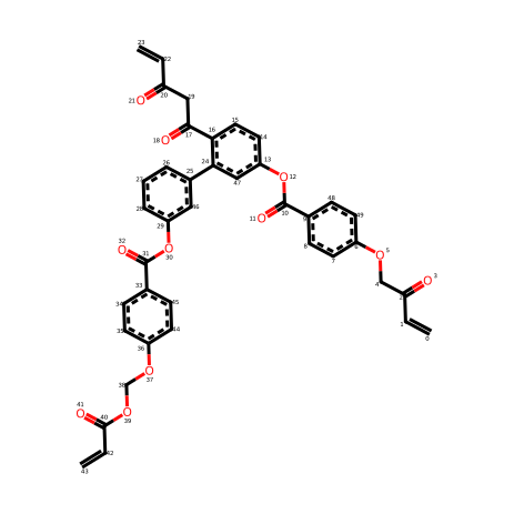 C=CC(=O)COc1ccc(C(=O)Oc2ccc(C(=O)CC(=O)C=C)c(-c3cccc(OC(=O)c4ccc(OCOC(=O)C=C)cc4)c3)c2)cc1